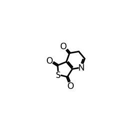 O=C1CC=NC2=C1C(=O)SC2=O